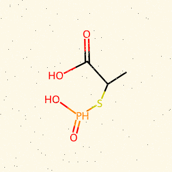 CC(S[PH](=O)O)C(=O)O